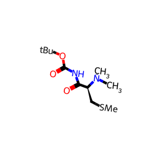 CSC[C@@H](C(=O)NC(=O)OC(C)(C)C)N(C)C